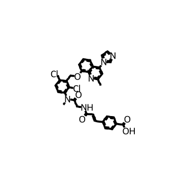 Cc1cc(-n2ccnc2)c2cccc(OCc3c(Cl)ccc(N(C)C(=O)CNC(=O)C=Cc4ccc(C(=O)O)cc4)c3Cl)c2n1